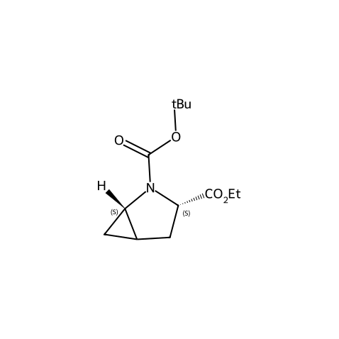 CCOC(=O)[C@@H]1CC2C[C@@H]2N1C(=O)OC(C)(C)C